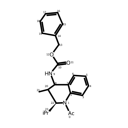 CC(=O)N1c2ccccc2C(NC(=O)OCc2ccccc2)C(C)[C@@H]1C(C)C